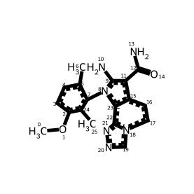 COc1ccc(C)c(-n2c(N)c(C(N)=O)c3ccn4cnnc4c32)c1C